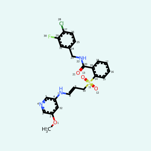 COc1cncc(NC=CCS(=O)(=O)c2ccccc2C(=O)NCc2ccc(Cl)c(F)c2)c1